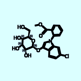 COC(=O)c1ccccc1-n1cc(O[C@@H]2O[C@H](CO)[C@H](O)[C@H](O)[C@H]2O)c2ccc(Cl)cc21